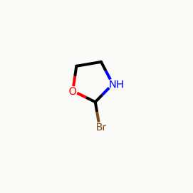 BrC1NCCO1